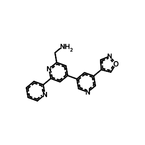 NCc1cc(-c2cncc(-c3cnoc3)c2)cc(-c2ccccn2)n1